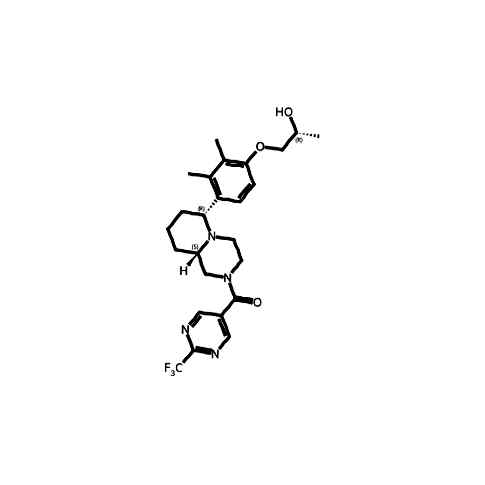 Cc1c(OC[C@@H](C)O)ccc([C@H]2CCC[C@H]3CN(C(=O)c4cnc(C(F)(F)F)nc4)CCN32)c1C